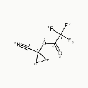 N#CC1(OC(=O)C(F)(F)F)CC1